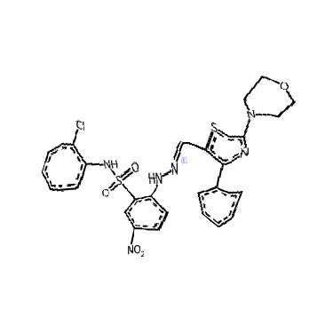 O=[N+]([O-])c1ccc(N/N=C/c2sc(N3CCOCC3)nc2-c2ccccc2)c(S(=O)(=O)Nc2ccccc2Cl)c1